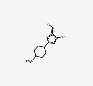 C/N=c1\sc(C2CCN(C(=O)O)CC2)cn1C